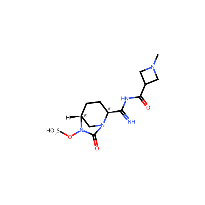 CN1CC(C(=O)NC(=N)[C@@H]2CC[C@@H]3CN2C(=O)N3OS(=O)(=O)O)C1